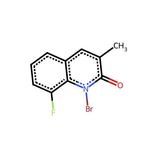 Cc1cc2cccc(F)c2n(Br)c1=O